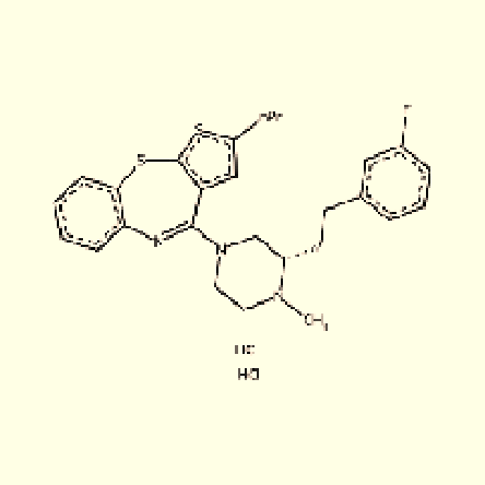 CCCc1cc2c(s1)Sc1ccccc1N=C2N1CCN(C)[C@@H](CCc2cccc(F)c2)C1.Cl.Cl